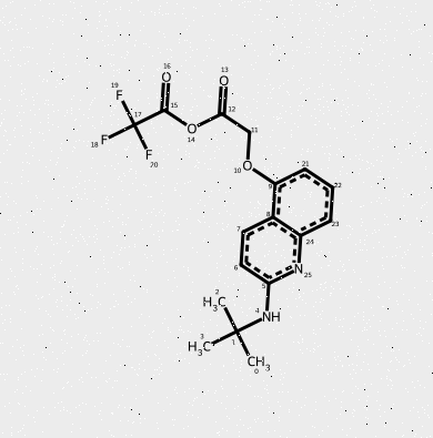 CC(C)(C)Nc1ccc2c(OCC(=O)OC(=O)C(F)(F)F)cccc2n1